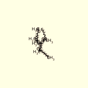 CCCCCCCCN(C)C(=O)COCC(CC)(COCC(=O)N(C)CCCCCCCC)COCC(=O)N(C)CCCCCCCC